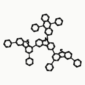 c1ccc(-c2ccc3sc4c(-c5ccc6c(c5)c5cc(-c7cc(-c8ccccc8)cc8c7sc7ccc(-c9ccccc9)cc78)ccc5n6-c5ccc6c(-c7ccccc7)c7ccccc7c(-c7ccccc7)c6c5)cc(-c5ccccc5)cc4c3c2)cc1